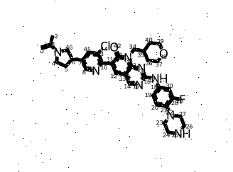 C=C(C)N1CCC(c2cnc(-c3cc4cnc(Nc5ccc(N6CCNCC6)c(F)c5)nc4n(CC4CCOCC4)c3=O)c(Cl)c2)C1